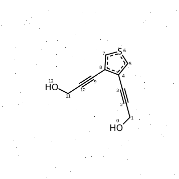 OCC#Cc1cscc1C#CCO